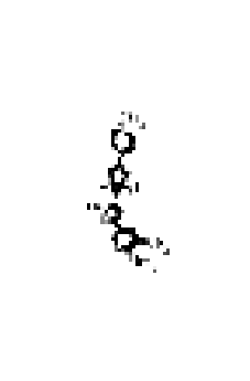 CC(C)n1nc(-c2cnc(N)c(C(F)(F)F)c2)cc1[C@H]1[C@@H]2C[C@@H](N3CCN(C)CC3)C[C@@H]21